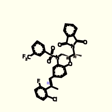 C/C(=C\c1ccc2c(c1)N(S(=O)(=O)c1cccc(C(F)(F)F)c1)C[C@H]([C@@H](C)N1C(=O)c3ccccc3C1=O)O2)c1c(F)cccc1Cl